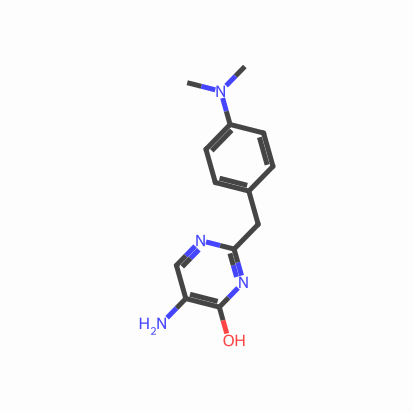 CN(C)c1ccc(Cc2ncc(N)c(O)n2)cc1